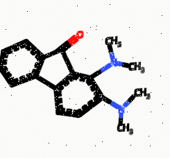 CN(C)c1ccc2c(c1N(C)C)C(=O)c1ccccc1-2